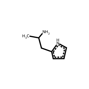 CC(N)Cc1ccc[nH]1